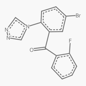 O=C(c1ccccc1F)c1cc(Br)ccc1-n1cnnc1